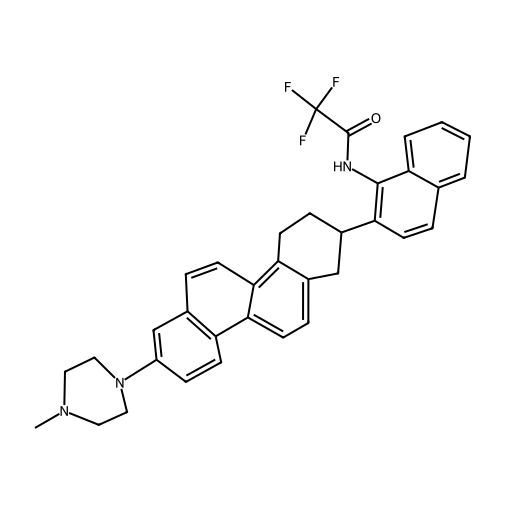 CN1CCN(c2ccc3c(ccc4c5c(ccc43)CC(c3ccc4ccccc4c3NC(=O)C(F)(F)F)CC5)c2)CC1